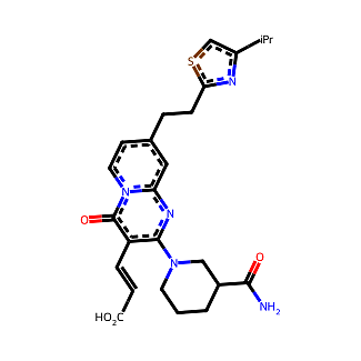 CC(C)c1csc(CCc2ccn3c(=O)c(C=CC(=O)O)c(N4CCCC(C(N)=O)C4)nc3c2)n1